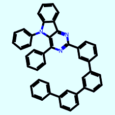 c1ccc(-c2cccc(-c3cccc(-c4cccc(-c5nc(-c6ccccc6)c6c(n5)c5ccccc5n6-c5ccccc5)c4)c3)c2)cc1